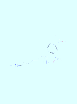 NCCCCCCN(N)c1ccc([N+](=O)[O-])cc1[N+](=O)[O-]